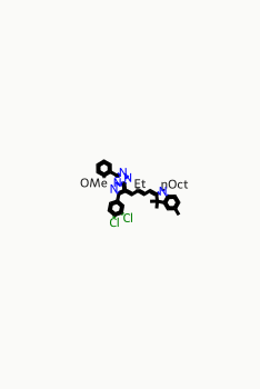 CCCCCCCCN1/C(=C/C=C(/C=c2/c(-c3ccc(Cl)c(Cl)c3)nn3c(-c4ccccc4OC)nnc23)CC)C(C)(C)c2cc(C)ccc21